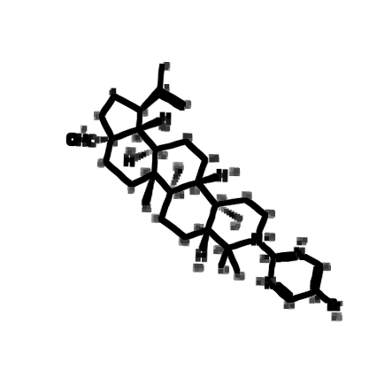 C=C(C)[C@@H]1CC[C@]2(C=O)CC[C@]3(C)[C@H](CC[C@@H]4[C@@]5(C)CCN(c6ncc(Br)cn6)C(C)(C)[C@@H]5CC[C@]43C)[C@@H]12